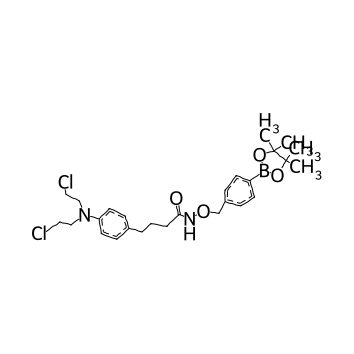 CC1(C)OB(c2ccc(CONC(=O)CCCc3ccc(N(CCCl)CCCl)cc3)cc2)OC1(C)C